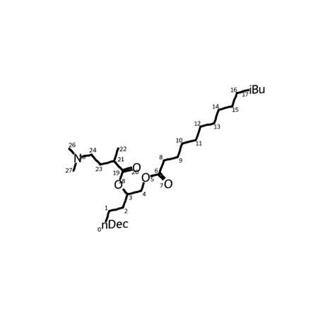 CCCCCCCCCCCCC(COC(=O)CCCCCCCCCC(C)CC)OC(=O)C(C)CCN(C)C